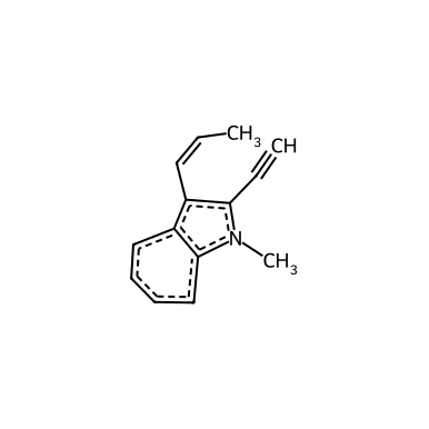 C#Cc1c(/C=C\C)c2ccccc2n1C